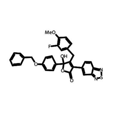 COc1ccc(CC2=C(c3ccc4nsnc4c3)C(=O)OC2(O)c2ccc(OCc3ccccc3)cc2)cc1F